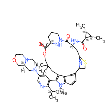 CCn1c(-c2cc(N3CCN4CCOC[C@@H]4C3)cnc2[C@H](C)OC)c2c3cc(ccc31)C1CSC(=N1)C[C@H](NC(=O)[C@H]1[C@H](C)[C@@H]1C)C(=O)N1CCC[C@@](C)(N1)C(=O)OCC(C)(C)C2